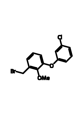 COc1c(CBr)cccc1Oc1cccc(Cl)c1